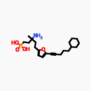 CC(N)(CCc1ccc(C#CCCCC2CCCCC2)o1)CCP(=O)(O)O